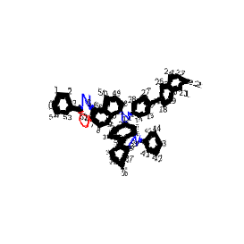 c1ccc(-c2nc3c(ccc4c(N(c5ccc(-c6ccc7ccccc7c6)cc5)c5ccc6c7ccccc7n(-c7ccccc7)c6c5)cccc43)o2)cc1